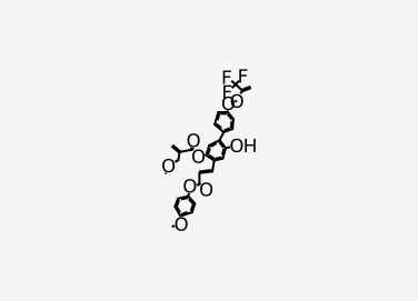 C=C(COC)C(=O)Oc1cc(-c2ccc(OOC(=C)C(F)(F)F)cc2)c(O)cc1/C=C/C(=O)Oc1ccc(OC)cc1